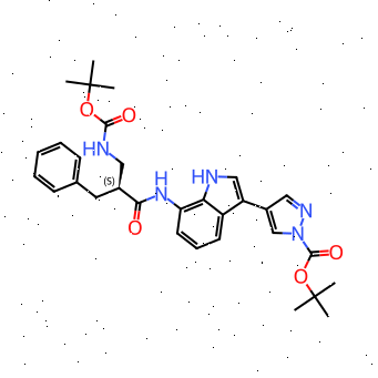 CC(C)(C)OC(=O)NC[C@H](Cc1ccccc1)C(=O)Nc1cccc2c(-c3cnn(C(=O)OC(C)(C)C)c3)c[nH]c12